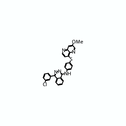 COc1cnc2c(Sc3ccc(Nc4nnc(-c5cccc(Cl)c5)c5ccccc45)cc3)ccnc2c1